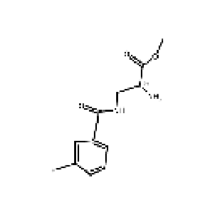 COC(=O)[C@H](N)CNC(=O)c1cccc(F)c1